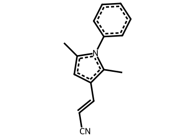 Cc1cc(/C=C/C#N)c(C)n1-c1ccccc1